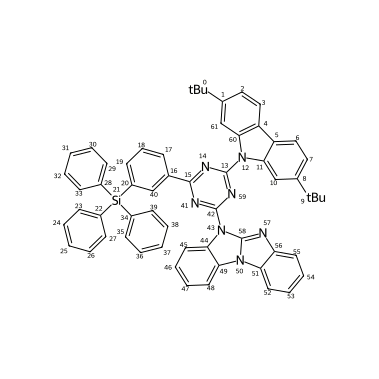 CC(C)(C)c1ccc2c3ccc(C(C)(C)C)cc3n(-c3nc(-c4cccc([Si](c5ccccc5)(c5ccccc5)c5ccccc5)c4)nc(-n4c5ccccc5n5c6ccccc6nc45)n3)c2c1